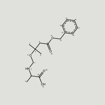 CC(NCOC(C)(C)CC(=O)OCc1ccccc1)C(=O)O